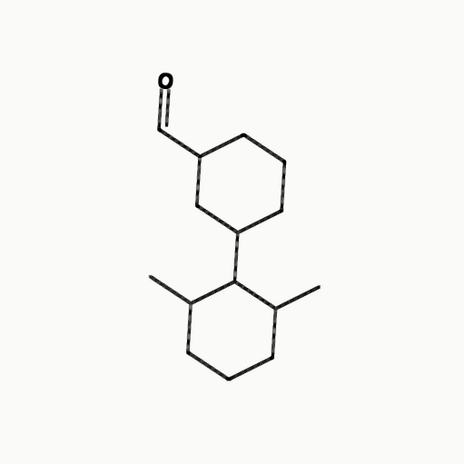 CC1CCCC(C)C1C1CCCC(C=O)C1